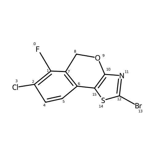 Fc1c(Cl)ccc2c1COc1nc(Br)sc1-2